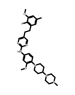 COc1cc(Nc2ncc(CCc3cc(C)cc(OC)c3F)cn2)ccc1N1CCC(N2CCN(C)CC2)CC1